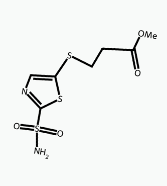 COC(=O)CCSc1cnc(S(N)(=O)=O)s1